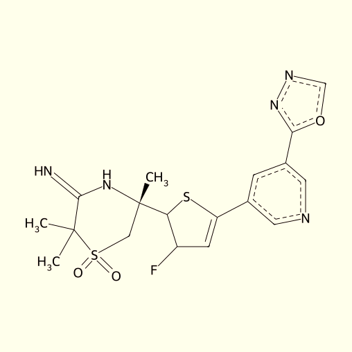 CC1(C)C(=N)N[C@](C)(C2SC(c3cncc(-c4nnco4)c3)=CC2F)CS1(=O)=O